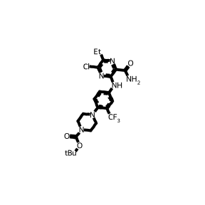 CCc1nc(C(N)=O)c(Nc2ccc(N3CCN(C(=O)OC(C)(C)C)CC3)c(C(F)(F)F)c2)nc1Cl